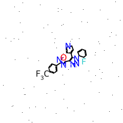 FC1C=CC=CC1n1nnc(-c2nc(-c3ccc(C(F)(F)F)cc3)no2)c1-c1ccncc1